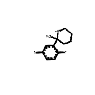 OC1(c2cc(F)ccc2F)CCCCN1